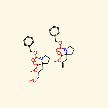 C=CCC1(C(=O)OC)CCCN1C(=O)OCc1ccccc1.COC(=O)C1(CCCO)CCCN1C(=O)OCc1ccccc1